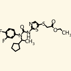 CCOC(=O)CSc1cnc(NC(=O)N(c2ccc(F)c(F)c2)C(C)C2CCCC2)s1